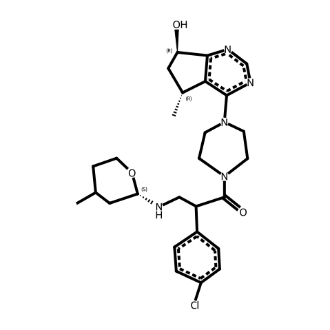 CC1CCO[C@H](NCC(C(=O)N2CCN(c3ncnc4c3[C@H](C)C[C@H]4O)CC2)c2ccc(Cl)cc2)C1